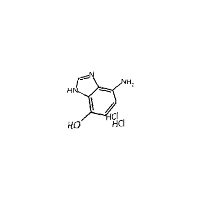 Cl.Cl.Nc1ccc(O)c2[nH]cnc12